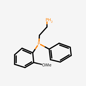 COc1ccccc1P(CCP)c1ccccc1